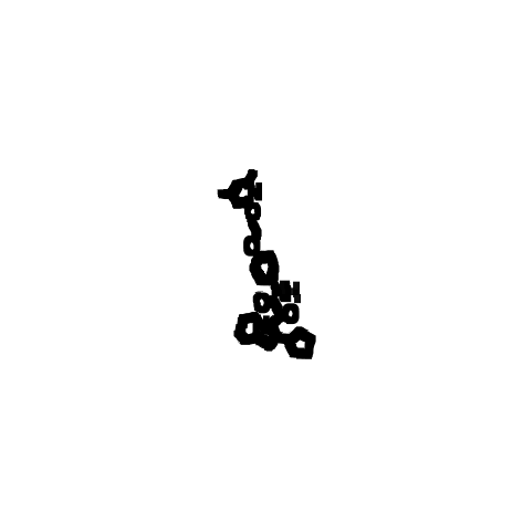 Cc1cc(C)nc(OCCOc2ccc(NC(=O)C(=O)c3c(C4CCCC4)cc4n3CCCC4)cc2)c1